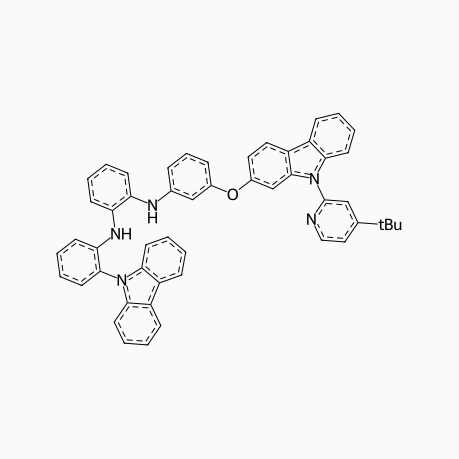 CC(C)(C)c1ccnc(-n2c3ccccc3c3ccc(Oc4cccc(Nc5ccccc5Nc5ccccc5-n5c6ccccc6c6ccccc65)c4)cc32)c1